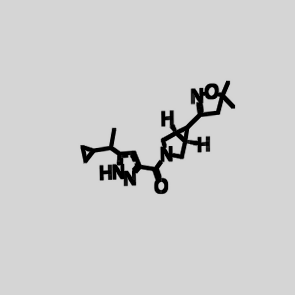 CC(c1cc(C(=O)N2C[C@@H]3C(C4=NOC(C)(C)C4)[C@@H]3C2)n[nH]1)C1CC1